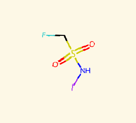 O=S(=O)(CF)NI